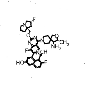 C#Cc1c(F)ccc2cc(O)cc(-c3ncc4c(N5CCC6(CC5)CO[C@@H](C)[C@H]6N)nc(OC[C@@]56CCCN5C[C@H](F)C6)nc4c3F)c12